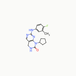 Cc1cc(Nc2ncc3c(n2)N(C2CCCC2)C(=O)NC3)ccc1F